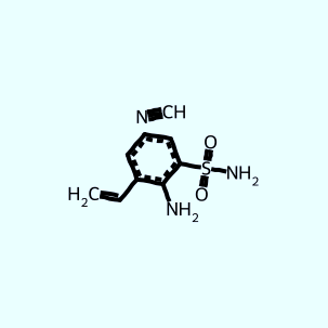 C#N.C=Cc1cccc(S(N)(=O)=O)c1N